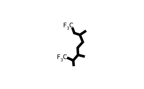 CC(CCC(C)C(C)C(F)(F)F)CC(F)(F)F